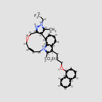 CCOC(=O)c1c(CCCOc2cccc3ccccc23)c2cccc3c2n1C/C=C\COCc1nn(CC(F)(F)F)c(C)c1-3